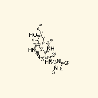 CCC[C@@](O)(CC)CC[C@H](C)Nc1c(C(=O)NC2=NC(=O)CN2C)cnc2[nH]ccc12